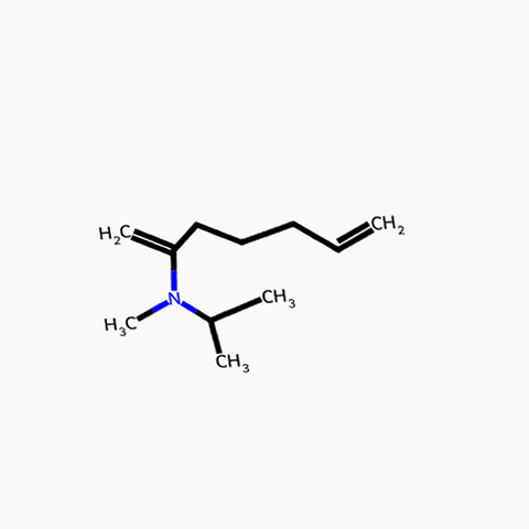 C=CCCCC(=C)N(C)C(C)C